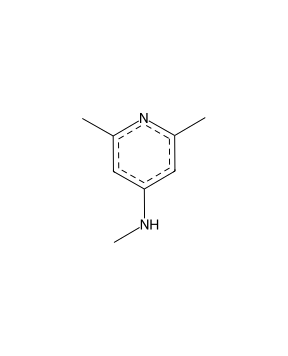 CNc1cc(C)nc(C)c1